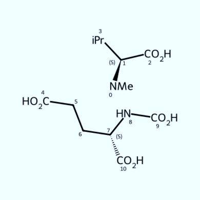 CN[C@H](C(=O)O)C(C)C.O=C(O)CC[C@H](NC(=O)O)C(=O)O